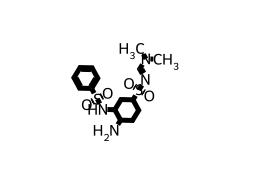 CN(C)C=NS(=O)(=O)C1CCC(N)C(NS(=O)(=O)c2ccccc2)C1